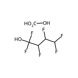 O=C(O)O.OC(F)(F)C(F)C(F)C(F)F